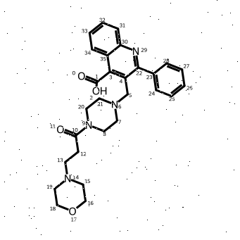 O=C(O)c1c(CN2CCN(C(=O)CCN3CCOCC3)CC2)c(-c2ccccc2)nc2ccccc12